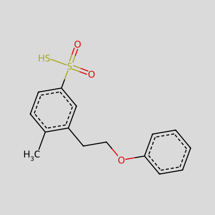 Cc1ccc(S(=O)(=O)S)cc1CCOc1ccccc1